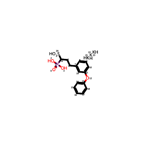 O=P(O)(O)C(CCc1cccc(Oc2ccccc2)c1)S(=O)(=O)O.[KH].[KH].[KH]